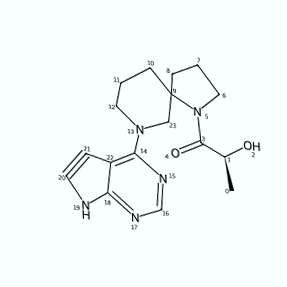 C[C@H](O)C(=O)N1CCCC12CCCN(c1ncnc3[nH]c#cc13)C2